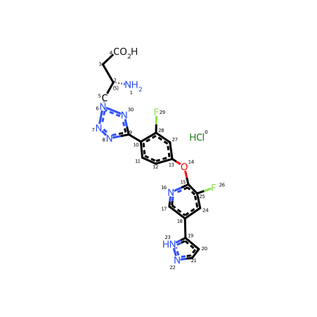 Cl.N[C@@H](CC(=O)O)Cn1nnc(-c2ccc(Oc3ncc(-c4ccn[nH]4)cc3F)cc2F)n1